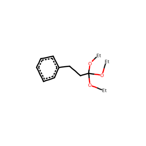 CCOC(CCc1ccccc1)(OCC)OCC